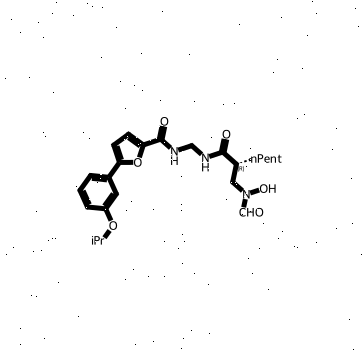 CCCCC[C@H](CN(O)C=O)C(=O)NCNC(=O)c1ccc(-c2cccc(OC(C)C)c2)o1